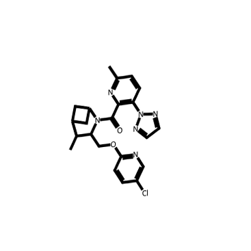 Cc1ccc(-n2nccn2)c(C(=O)N2C3CC(C3)C(C)C2COc2ccc(Cl)cn2)n1